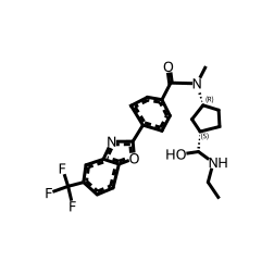 CCNC(O)[C@H]1CC[C@@H](N(C)C(=O)c2ccc(-c3nc4cc(C(F)(F)F)ccc4o3)cc2)C1